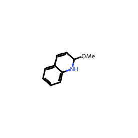 CO[C]1C=Cc2ccccc2N1